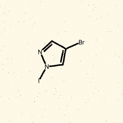 Brc1cnn(I)c1